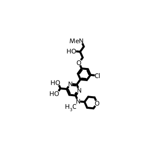 CNCC(O)COc1cc(Cl)cc(-c2nc(C(O)O)cc(N(C)C3CCOCC3)n2)c1